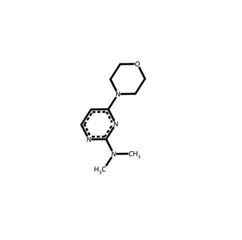 CN(C)c1nccc(N2CCOCC2)n1